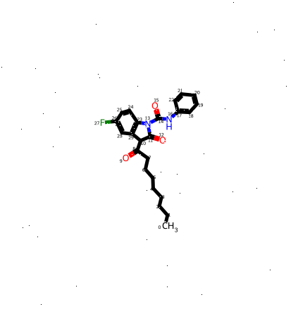 CCCCCCCCC(=O)C1C(=O)N(C(=O)Nc2ccccc2)c2ccc(F)cc21